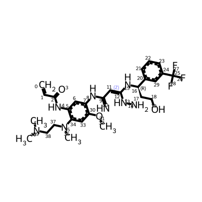 C=CC(=O)Nc1cc(NC(=N)/C=C(\NN)N[C@H](CCO)c2cccc(C(F)(F)F)c2)c(OC)cc1N(C)CCN(C)C